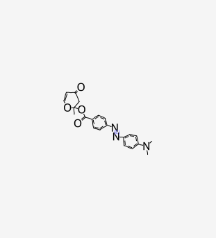 CN(C)c1ccc(/N=N/c2ccc(C(=O)OC3(C)CC(=O)C=CO3)cc2)cc1